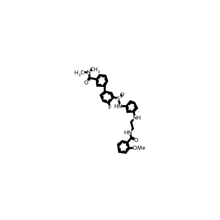 COc1ccccc1C(=O)NCCNc1cccc(N[S+]([O-])c2cc(-c3cccc(C(=O)N(C)C)c3)ccc2F)c1